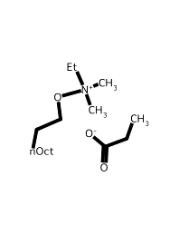 CCC(=O)[O-].CCCCCCCCCCO[N+](C)(C)CC